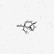 CCOP(=O)(CC(F)(F)F)OCC.COP(=O)(CC(F)(F)F)OC